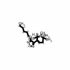 BC1(B)CC=C(c2nsnc2OCCCCCC)C(B)(B)N1C